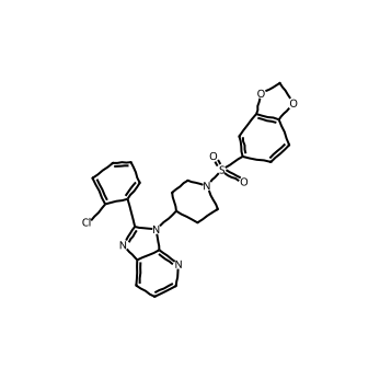 O=S(=O)(c1ccc2c(c1)OCO2)N1CCC(n2c(-c3ccccc3Cl)nc3cccnc32)CC1